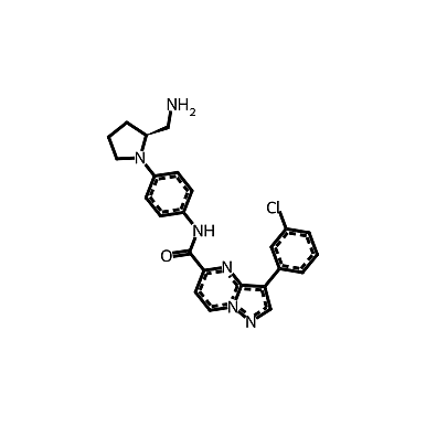 NC[C@@H]1CCCN1c1ccc(NC(=O)c2ccn3ncc(-c4cccc(Cl)c4)c3n2)cc1